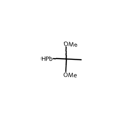 CO[C](C)([PbH])OC